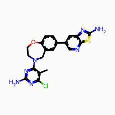 Cc1c(Cl)nc(N)nc1N1CCOc2ccc(-c3cnc4sc(N)nc4c3)cc2C1